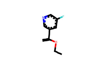 C=C(OCC)c1cncc(F)c1